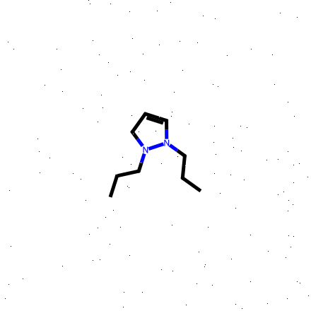 CCCN1C=CCN1CCC